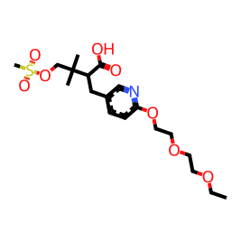 CCOCCOCCOc1ccc(CC(C(=O)O)C(C)(C)COS(C)(=O)=O)cn1